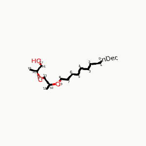 CCCCCCCCCCCCCCCCCCOC(C)COC(C)CO